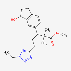 CCn1nnc(CCC(c2ccc3c(c2)C(O)CC3)C(C)(C)C(=O)OC)n1